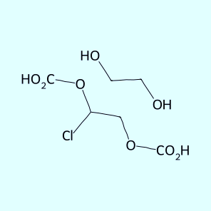 O=C(O)OCC(Cl)OC(=O)O.OCCO